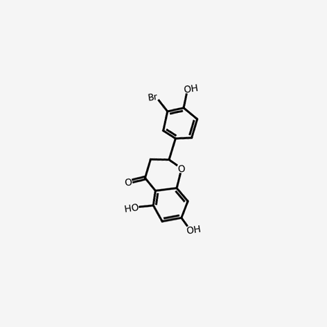 O=C1CC(c2ccc(O)c(Br)c2)Oc2cc(O)cc(O)c21